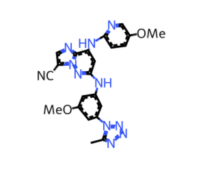 COc1ccc(Nc2cc(Nc3cc(OC)cc(-n4nnnc4C)c3)nn3c(C#N)cnc23)nc1